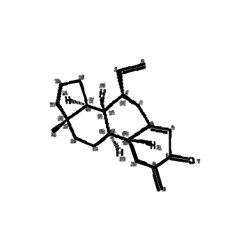 C=C[C@H]1CC2=CC(=O)C(=C)C[C@@H]2[C@H]2CC[C@]3(C)CCC[C@H]3[C@@H]21